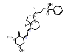 C=C1/C(=C\C=C2/CCC[C@]3(C)[C@@H]([C@H](C)CCS(=N)(=O)c4ccccc4)CC[C@@H]23)C[C@@H](O)C[C@@H]1O